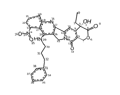 CC[C@@]1(O)C(=O)OCc2c1cc1n(c2=O)Cc2c-1nc1cccc([N+](=O)[O-])c1c2NCCCc1ccccc1